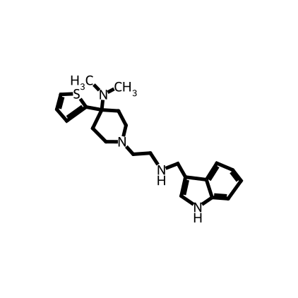 CN(C)C1(c2cccs2)CCN(CCNCc2c[nH]c3ccccc23)CC1